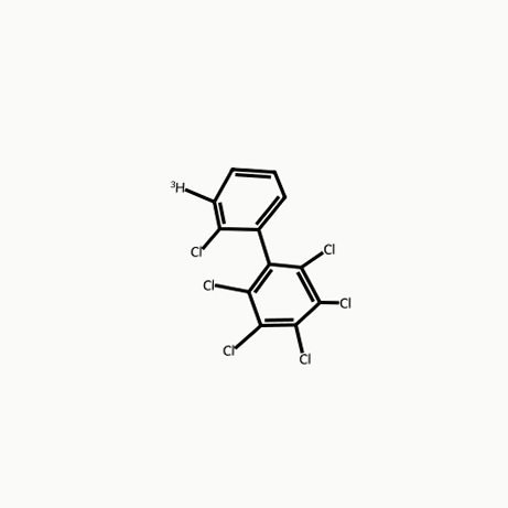 [3H]c1cccc(-c2c(Cl)c(Cl)c(Cl)c(Cl)c2Cl)c1Cl